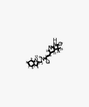 CN(Cc1cc2ccccc2n1C)C(=O)/C=C/c1cnc2c(c1)C(C)(C)C(=O)N2